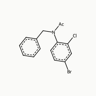 CC(=O)N(Cc1ccccc1)c1ccc(Br)cc1Cl